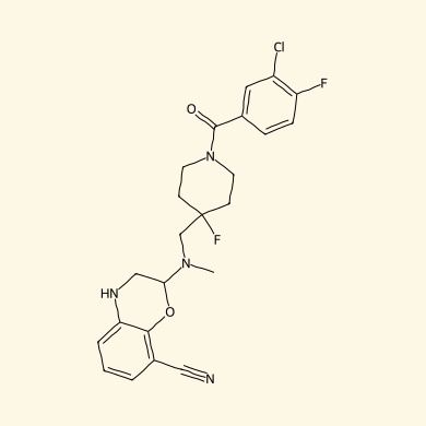 CN(CC1(F)CCN(C(=O)c2ccc(F)c(Cl)c2)CC1)C1CNc2cccc(C#N)c2O1